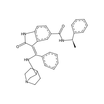 C[C@@H](NC(=O)c1ccc2c(c1)/C(=C(/NC1CN3CCC1CC3)c1ccccc1)C(=O)N2)c1ccccc1